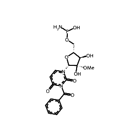 CO[C@@]1(O)[C@H](O)[C@@H](COP(N)O)O[C@H]1n1ccc(=O)n(C(=O)c2ccccc2)c1=O